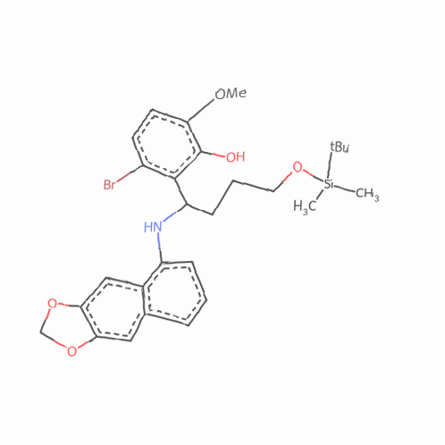 COc1ccc(Br)c(C(CCCO[Si](C)(C)C(C)(C)C)Nc2cccc3cc4c(cc23)OCO4)c1O